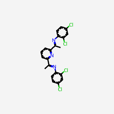 CC(=Nc1ccc(Cl)cc1Cl)c1cccc(C(C)=Nc2ccc(Cl)cc2Cl)n1